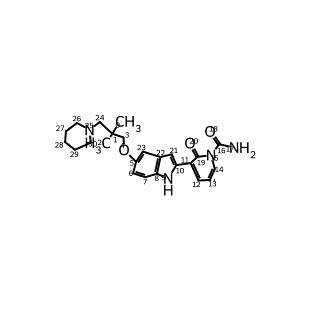 CC(C)(COc1ccc2[nH]c(-c3c[c]cn(C(N)=O)c3=O)cc2c1)CN1CCCCC1